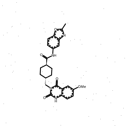 COc1ccc2[nH]c(=O)n(C[C@H]3CC[C@H](C(=O)Nc4ccc5oc(C)nc5c4)CC3)c(=O)c2c1